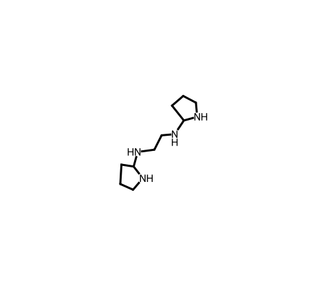 C1CNC(NCCNC2CCCN2)C1